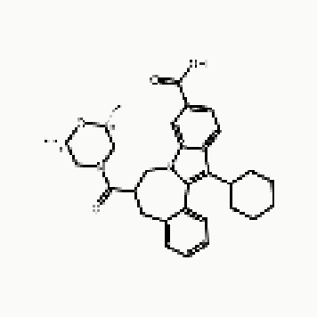 C[C@@H]1CN(C(=O)C2Cc3ccccc3-c3c(C4CCCCC4)c4ccc(C(=O)O)cc4n3C2)C[C@H](C)O1